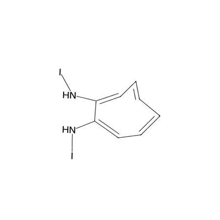 INC1=C\C=C\C=C/C=C\1NI